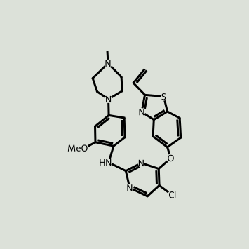 C=Cc1nc2cc(Oc3nc(Nc4ccc(N5CCN(C)CC5)cc4OC)ncc3Cl)ccc2s1